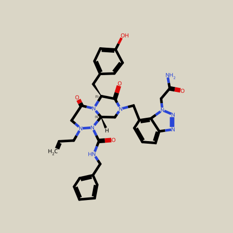 C=CCN1CC(=O)N2[C@@H](Cc3ccc(O)cc3)C(=O)N(Cc3cccc4nnn(CC(N)=O)c34)C[C@@H]2N1C(=O)NCc1ccccc1